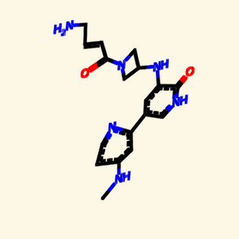 CNc1ccnc(-c2c[nH]c(=O)c(NC3CN(C(=O)/C=C/CN)C3)c2)c1